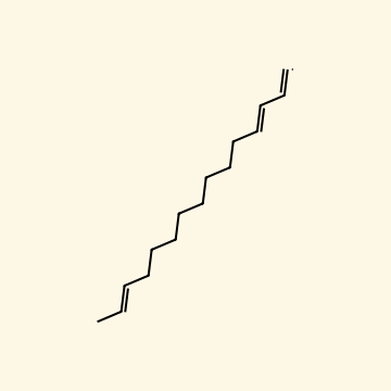 [CH]=CC=CCCCCCCCCC=CC